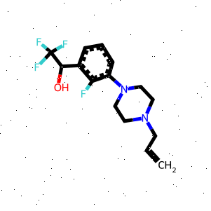 C=CCN1CCN(c2cccc(C(O)C(F)(F)F)c2F)CC1